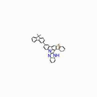 CC1(C)c2ccccc2-c2cc(-c3ccc4c(c3)c3cc5sc6c(c5c5c7c(n4c35)N=C3C=CC=CC3N7)CCC=C6)ccc21